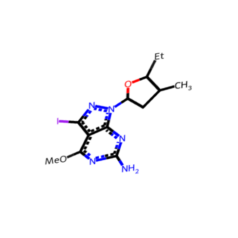 CCC1OC(n2nc(I)c3c(OC)nc(N)nc32)CC1C